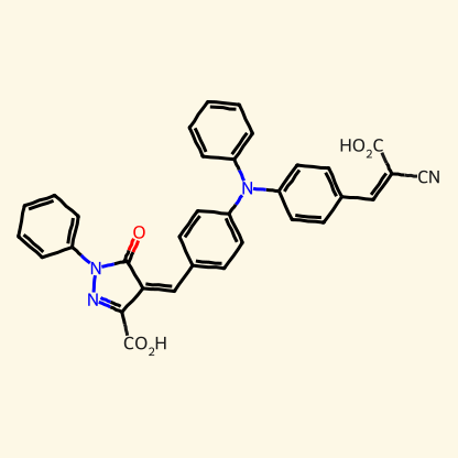 N#C/C(=C/c1ccc(N(c2ccccc2)c2ccc(/C=C3\C(=O)N(c4ccccc4)N=C3C(=O)O)cc2)cc1)C(=O)O